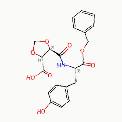 O=C(OCc1ccccc1)[C@H](Cc1ccc(O)cc1)NC(=O)[C@@H]1OCO[C@H]1C(=O)O